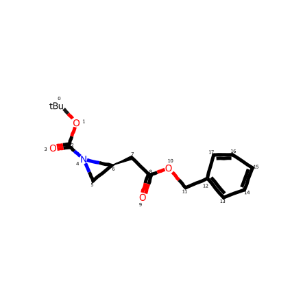 CC(C)(C)OC(=O)N1C[C@@H]1CC(=O)OCc1ccccc1